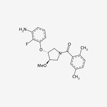 CO[C@@H]1CN(C(=O)c2cc(C)ccc2C)C[C@H]1Oc1cccc(N)c1F